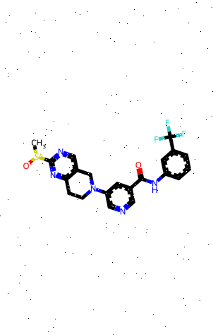 C[S+]([O-])c1ncc2c(n1)CCN(c1cncc(C(=O)Nc3cccc(C(F)(F)F)c3)c1)C2